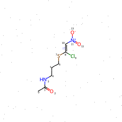 CC(=O)NCCCS/C(Cl)=C/[N+](=O)[O-]